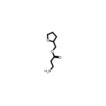 NCCC(=O)OCC1CCCO1